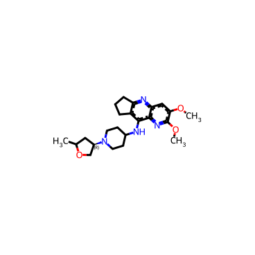 COc1cc2nc3c(c(NC4CCN([C@H]5COC(C)C5)CC4)c2nc1OC)CCC3